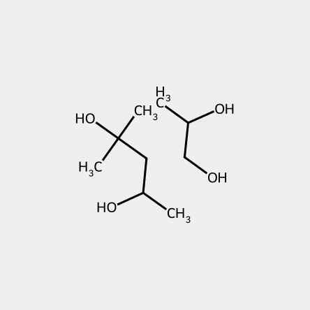 CC(O)CC(C)(C)O.CC(O)CO